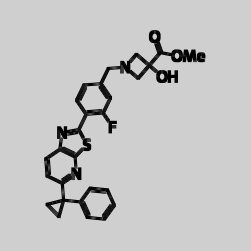 COC(=O)C1(O)CN(Cc2ccc(-c3nc4ccc(C5(c6ccccc6)CC5)nc4s3)c(F)c2)C1